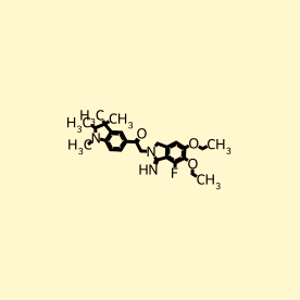 CCOc1cc2c(c(F)c1OCC)C(=N)N(CC(=O)c1ccc3c(c1)C(C)(C)C(C)N3C)C2